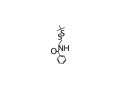 CC(C)(C)SSCCNC(=O)c1ccccc1